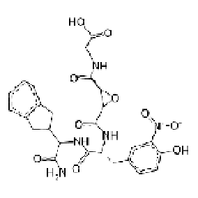 NC(=O)[C@H](NC(=O)[C@@H](Cc1ccc(O)c([N+](=O)[O-])c1)NC(=O)C1O[C@@H]1C(=O)NCC(=O)O)C1Cc2ccccc2C1